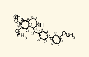 COc1cccc(-c2ccc(CC3NCCc4cc(OC)c(OC)cc43)cc2)c1